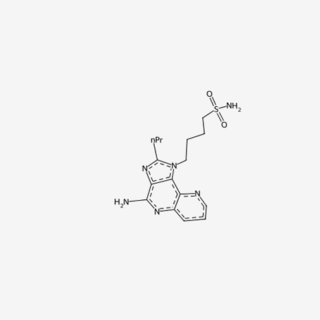 CCCc1nc2c(N)nc3cccnc3c2n1CCCCS(N)(=O)=O